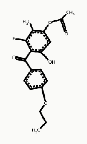 CCCOc1ccc(C(=O)c2c(O)cc(OC(C)=O)c(C)c2F)cc1